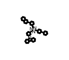 c1ccc(-c2ccc(-c3nc(-c4cccc(-c5ccc6ccccc6c5)c4)nc(-c4cccc(-n5c6ccccc6c6ccccc65)c4)n3)cc2)cc1